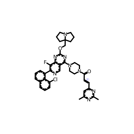 Cc1cc(/C=C/C(=O)N2CCN(c3nc(OCC45CCCN4CCC5)nc4c(F)c(-c5cccc6cccc(Cl)c56)ncc34)CC2)nc(C)n1